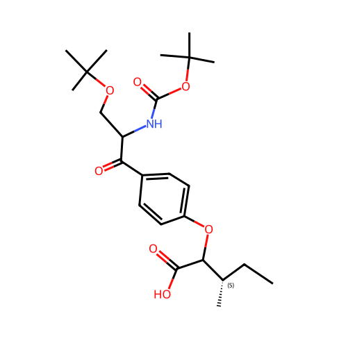 CC[C@H](C)C(Oc1ccc(C(=O)C(COC(C)(C)C)NC(=O)OC(C)(C)C)cc1)C(=O)O